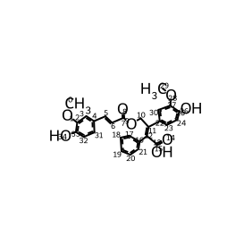 COc1cc(/C=C/C(=O)OCC(=C(C(=O)O)c2ccccc2)c2ccc(O)c(OC)c2)ccc1O